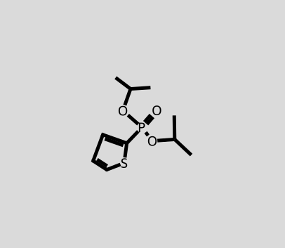 CC(C)OP(=O)(OC(C)C)c1cccs1